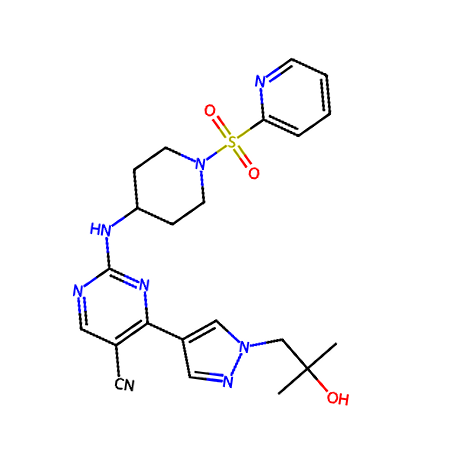 CC(C)(O)Cn1cc(-c2nc(NC3CCN(S(=O)(=O)c4ccccn4)CC3)ncc2C#N)cn1